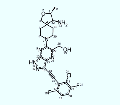 C[C@@H]1OCC2(CCN(c3nc4[nH]nc(C#Cc5c(F)ccc(F)c5Cl)c4nc3CO)CC2)[C@@H]1N